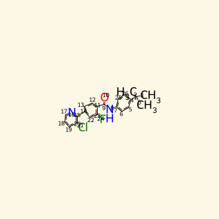 CC(C)(C)c1ccc(NC(=O)c2ccc(-c3ncccc3Cl)cc2F)cc1